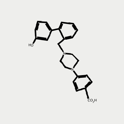 O=C(O)c1ccc(N2CCN(Cc3ccccc3-c3cccc(O)c3)CC2)cc1